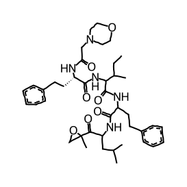 CCC(C)C(NC(=O)[C@H](CCc1ccccc1)NC(=O)CN1CCOCC1)C(=O)NC(CCc1ccccc1)C(=O)NC(CC(C)C)C(=O)C1(C)CO1